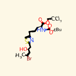 C/C(Br)=C\[C@H](O)Cc1nc(CCC[C@H](NC(=O)OC(C)(C)C)C(=O)OCC(Cl)(Cl)Cl)cs1